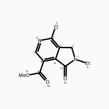 CCN1Cc2c(Cl)ncc(C(=O)OC)c2C1=O